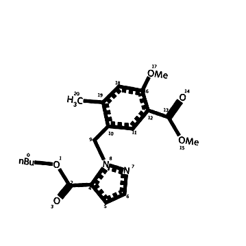 CCCCOC(=O)c1ccnn1Cc1cc(C(=O)OC)c(OC)cc1C